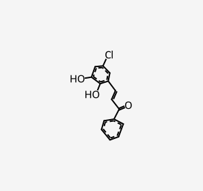 O=C(C=Cc1cc(Cl)cc(O)c1O)c1ccccc1